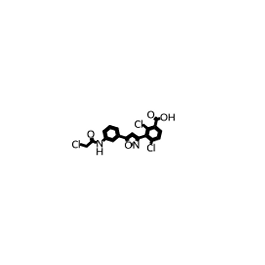 O=C(CCl)Nc1cccc(-c2cc(-c3c(Cl)ccc(C(=O)O)c3Cl)no2)c1